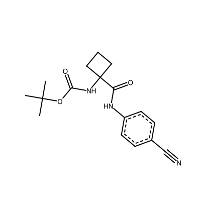 CC(C)(C)OC(=O)NC1(C(=O)Nc2ccc(C#N)cc2)CCC1